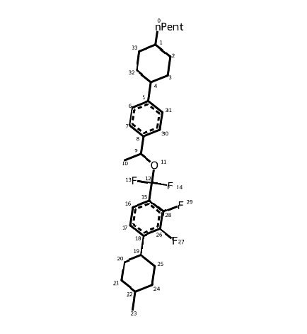 CCCCCC1CCC(c2ccc(C(C)OC(F)(F)c3ccc(C4CCC(C)CC4)c(F)c3F)cc2)CC1